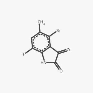 Cc1cc(F)c2c(c1Br)C(=O)C(=O)N2